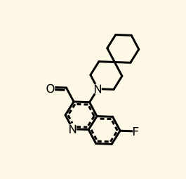 O=Cc1cnc2ccc(F)cc2c1N1CCC2(CCCCC2)CC1